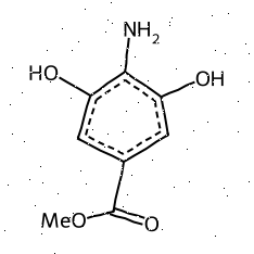 COC(=O)c1cc(O)c(N)c(O)c1